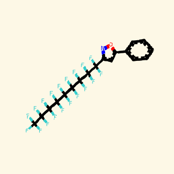 FC(F)(F)C(F)(F)C(F)(F)C(F)(F)C(F)(F)C(F)(F)C(F)(F)C(F)(F)C(F)(F)c1cc(-c2ccccc2)on1